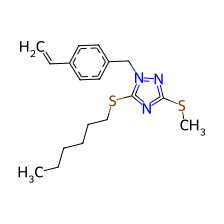 C=Cc1ccc(Cn2nc(SC)nc2SCCCCCC)cc1